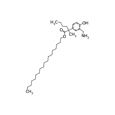 CCCCCCCCCCCCCCCCCCOC(=O)C(C)(CCCC)c1ccc(O)c(CN)c1